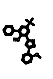 COc1ccccc1-c1cc(-c2cc(C(C)(C)C)cc(-c3ccccc3)c2O)no1